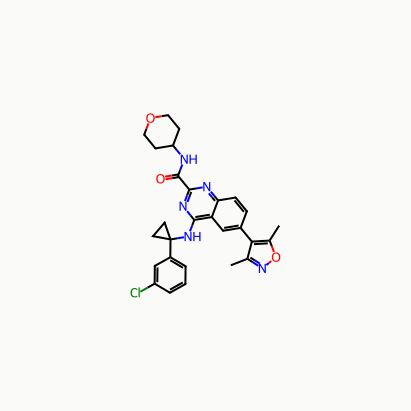 Cc1noc(C)c1-c1ccc2nc(C(=O)NC3CCOCC3)nc(NC3(c4cccc(Cl)c4)CC3)c2c1